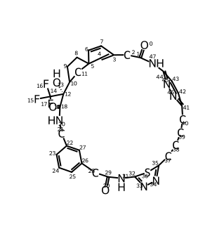 O=C1CC2=CC3(C=C2)CCC(C3)[C@](O)(C(F)(F)F)C(=O)NCc2cccc(c2)CC(=O)Nc2nnc(s2)CCCCc2ccc(nn2)N1